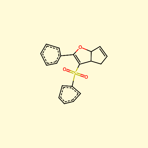 O=S(=O)(C1=C(c2ccccc2)OC2C=CCC12)c1ccccc1